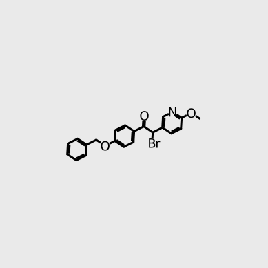 COc1ccc(C(Br)C(=O)c2ccc(OCc3ccccc3)cc2)cn1